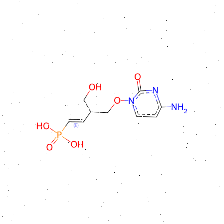 Nc1ccn(OCC(/C=C/P(=O)(O)O)CO)c(=O)n1